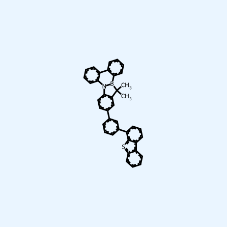 CC1(C)B2c3ccccc3-c3ccccc3N2c2ccc(-c3cccc(-c4cccc5c4sc4ccccc45)c3)cc21